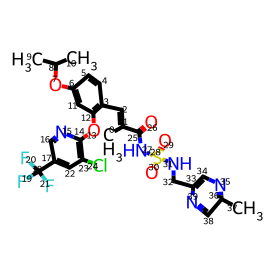 CC(=Cc1ccc(OC(C)C)cc1Oc1ncc(C(F)(F)F)cc1Cl)C(=O)NS(=O)(=O)NCc1cnc(C)cn1